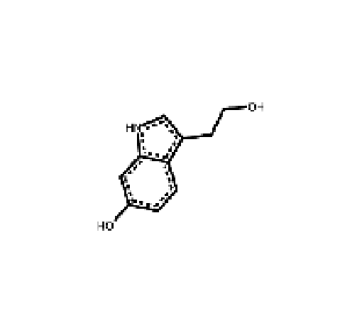 OCCc1c[nH]c2cc(O)ccc12